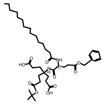 CCCCCCCCCCCCCCC(=O)N[C@@H](CCC(=O)OCc1ccccc1)C(=O)NC(CCC(=O)O)(CCC(=O)O)CCC(=O)OC(C)(C)C